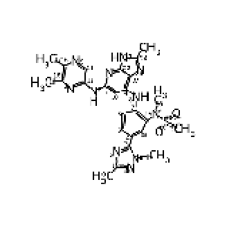 Cc1nc(-c2ccc(Nc3cc(Nc4cnc(C)c(C)n4)nc4[nH]c(C)nc34)c(N(C)S(C)(=O)=O)c2)n(C)n1